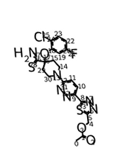 CC(=O)OCc1nnc(-c2ccc(N3CCC(Oc4cc(F)ccc4Cl)(C(N)=S)CC3)nn2)s1